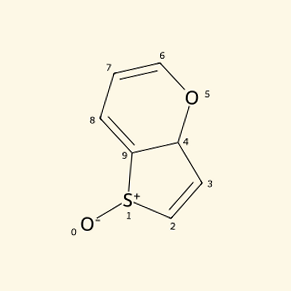 [O-][S+]1C=CC2OC=CC=C21